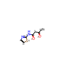 CC(C)C(=O)CC(=O)Nc1nccs1